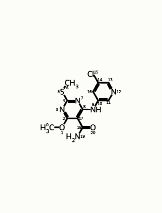 COc1nc(SC)nc(Nc2cncc(Cl)c2)c1C(N)=O